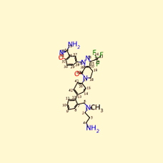 CN(CCCN)Cc1ccccc1-c1ccc(N2CCc3c(C(F)(F)F)nn(-c4ccc5onc(N)c5c4)c3C2=O)cc1